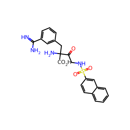 N=C(N)c1cccc(CC(N)(C(=O)O)C(=O)CNS(=O)(=O)c2ccc3ccccc3c2)c1